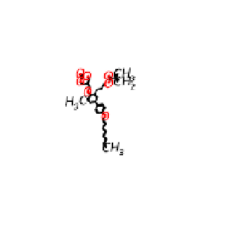 C=C(C)C(=O)OCCCc1cc(-c2ccc(OCCCCCCCC)cc2)cc(C)c1OCC1COC(=O)OC1